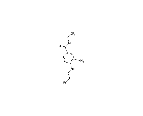 CC(C)CCNc1ccc(C(=O)NCC(F)(F)F)cc1N